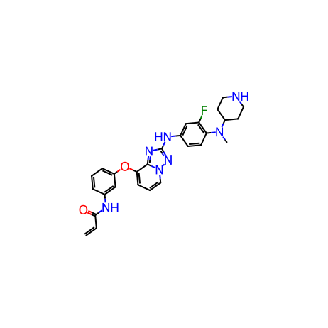 C=CC(=O)Nc1cccc(Oc2cccn3nc(Nc4ccc(N(C)C5CCNCC5)c(F)c4)nc23)c1